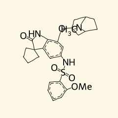 COc1ccccc1S(=O)(=O)Nc1cc(OC2CC3CCC(C2)N3C)c2c(c1)C1(CCCC1)C(=O)N2